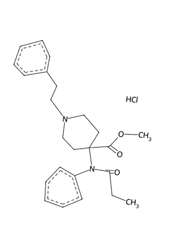 CCC(=O)N(c1ccccc1)C1(C(=O)OC)CCN(CCc2ccccc2)CC1.Cl